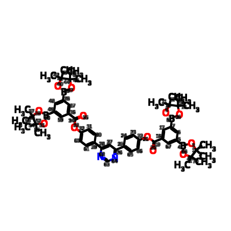 CC1(C)OB(c2cc(B3OC(C)(C)C(C)(C)O3)cc(C(=O)Oc3ccc(-c4cc(-c5ccc(OC(=O)c6cc(B7OC(C)(C)C(C)(C)O7)cc(B7OC(C)(C)C(C)(C)O7)c6)cc5)ncn4)cc3)c2)OC1(C)C